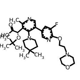 Cc1ncc(-c2cnc(OCCN3CCOCC3)c(F)c2)c(N2CCC(C)(C)CC2)c1[C@H](OC(C)(C)C)C(=O)O